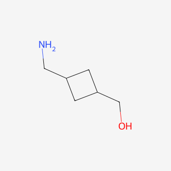 NCC1CC(CO)C1